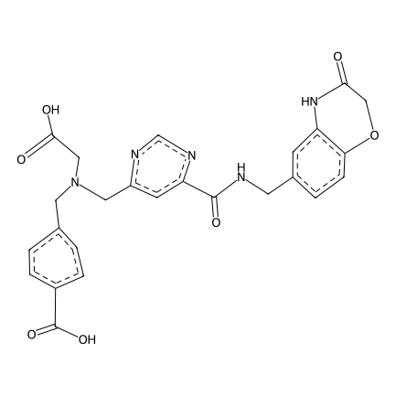 O=C(O)CN(Cc1ccc(C(=O)O)cc1)Cc1cc(C(=O)NCc2ccc3c(c2)NC(=O)CO3)ncn1